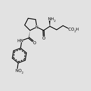 N[C@@H](CCC(=O)O)C(=O)N1CCC[C@H]1C(=O)Nc1ccc([N+](=O)[O-])cc1